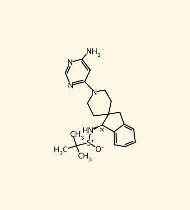 CC(C)(C)[S+]([O-])N[C@@H]1c2ccccc2CC12CCN(c1cc(N)ncn1)CC2